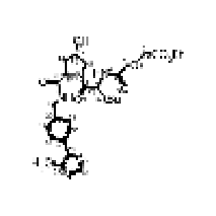 CCOC(=O)COCC(=O)N[C@H](C(=O)N1C[C@H](O)C[C@H]1C(=O)NCc1ccc(-c2scnc2C)cc1)C(C)(C)C